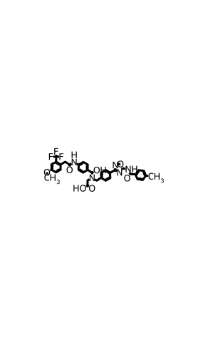 COc1ccc(CC(=O)Nc2ccc(C(O)N(CC(=O)O)Cc3ccc(-c4noc(NC(=O)c5ccc(C)cc5)n4)cc3)cc2)c(C(F)(F)F)c1